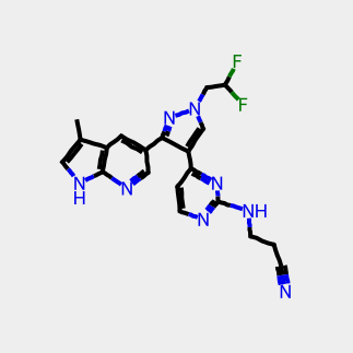 Cc1c[nH]c2ncc(-c3nn(CC(F)F)cc3-c3ccnc(NCCC#N)n3)cc12